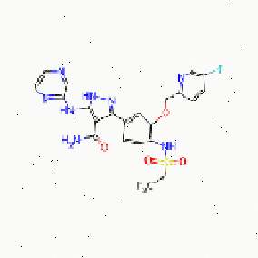 NC(=O)c1c(-c2ccc(NS(=O)(=O)CC(F)(F)F)c(OCc3ccc(F)cn3)c2)n[nH]c1Nc1cnccn1